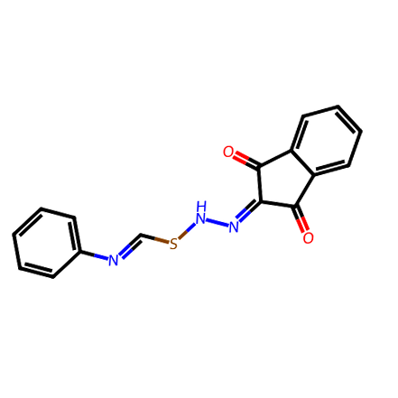 O=c1c(=NNS/C=N/c2ccccc2)c(=O)c2ccccc12